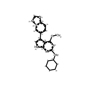 COc1nc(NC2CCCCC2)nc2[nH]cc(-c3ccc4ncnn4c3)c12